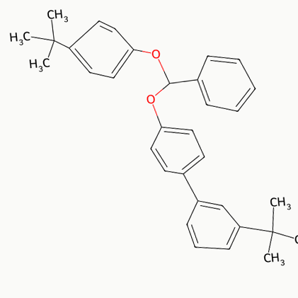 CC(C)(C)c1ccc(OC(Oc2ccc(-c3cccc(C(C)(C)C)c3)cc2)c2ccccc2)cc1